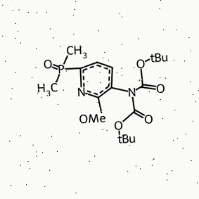 COc1nc(P(C)(C)=O)ccc1N(C(=O)OC(C)(C)C)C(=O)OC(C)(C)C